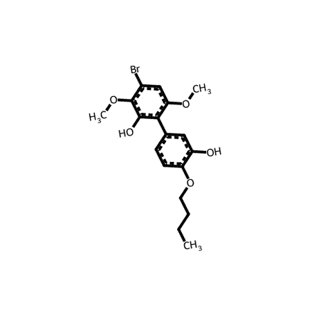 CCCCOc1ccc(-c2c(OC)cc(Br)c(OC)c2O)cc1O